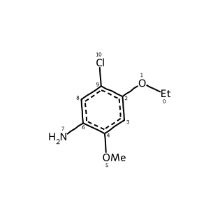 CCOc1cc(OC)c(N)cc1Cl